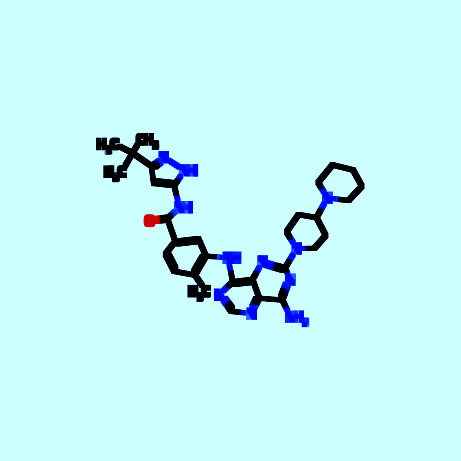 Cc1ccc(C(=O)Nc2cc(C(C)(C)C)n[nH]2)cc1Nc1ncnc2c(N)nc(N3CCC(N4CCCCC4)CC3)nc12